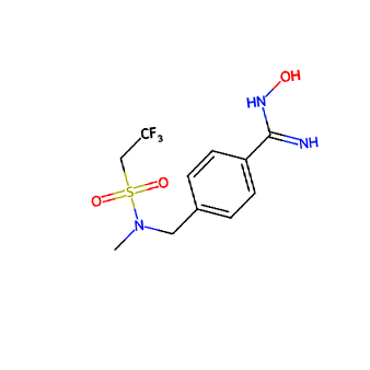 CN(Cc1ccc(C(=N)NO)cc1)S(=O)(=O)CC(F)(F)F